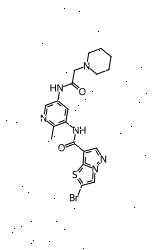 Cc1ncc(NC(=O)CN2CCCCC2)cc1NC(=O)c1cnn2cc(Br)sc12